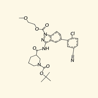 COCCOC(=O)n1nc(NC(=O)C2CCCN(C(=O)OC(C)(C)C)C2)c2cc(-c3cc(C#N)ccc3Cl)ccc21